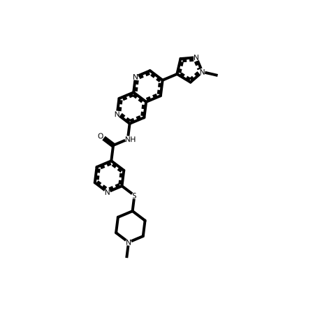 CN1CCC(Sc2cc(C(=O)Nc3cc4cc(-c5cnn(C)c5)cnc4cn3)ccn2)CC1